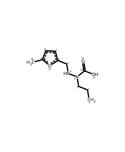 CCCN(NCc1ccc(C)o1)C(=O)O